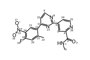 CNC(=O)c1cc(-c2nccc(-c3cc([N+](=O)[O-])c(F)cc3C)n2)ccn1